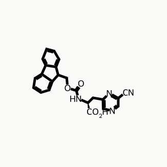 N#Cc1cncc(C[C@H](NC(=O)OCC2c3ccccc3-c3ccccc32)C(=O)O)n1